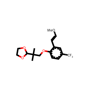 CO/C=C/c1cc(C(F)(F)F)ccc1OCC(C)(C)C1OCCO1